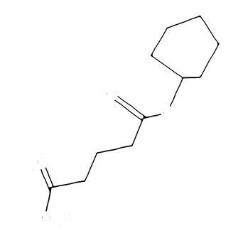 C=C(CCCC(=O)OC1CCCCC1)C(=O)O